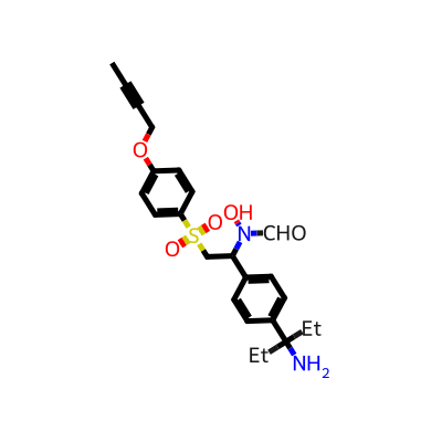 CC#CCOc1ccc(S(=O)(=O)CC(c2ccc(C(N)(CC)CC)cc2)N(O)C=O)cc1